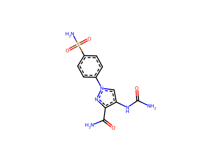 NC(=O)Nc1cn(-c2ccc(S(N)(=O)=O)cc2)nc1C(N)=O